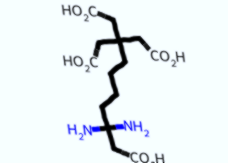 NC(N)(CCCCC(CC(=O)O)(CC(=O)O)CC(=O)O)CC(=O)O